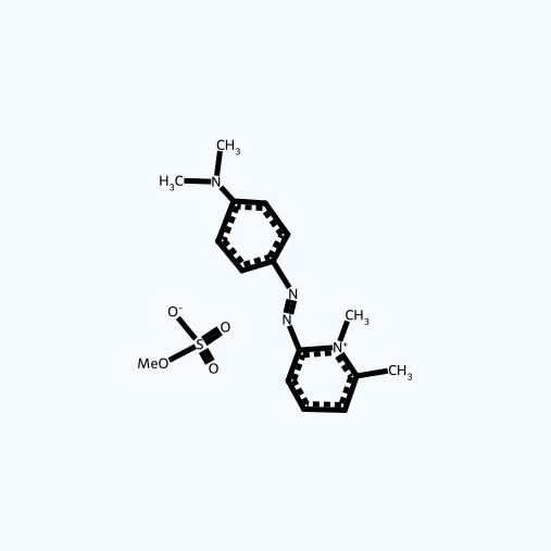 COS(=O)(=O)[O-].Cc1cccc(N=Nc2ccc(N(C)C)cc2)[n+]1C